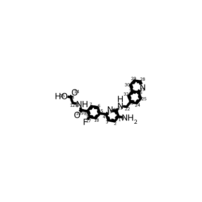 Nc1ccc(-c2ccc(C(=O)NCC(=O)O)c(F)c2)nc1NCc1ccc2ncccc2c1